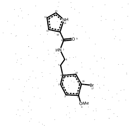 COc1ccc(CCNC(=O)c2ccc[nH]2)cc1Br